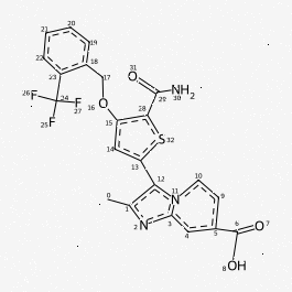 Cc1nc2cc(C(=O)O)ccn2c1-c1cc(OCc2ccccc2C(F)(F)F)c(C(N)=O)s1